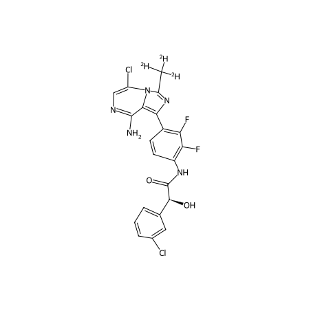 [2H]C([2H])([2H])c1nc(-c2ccc(NC(=O)[C@@H](O)c3cccc(Cl)c3)c(F)c2F)c2c(N)ncc(Cl)n12